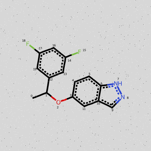 CC(Oc1ccc2[nH]ncc2c1)c1cc(F)cc(F)c1